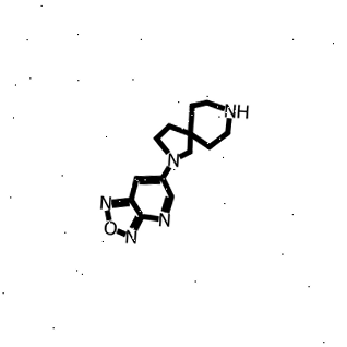 c1nc2nonc2cc1N1CCC2(CCNCC2)C1